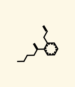 C=CCc1ccccc1C(=C)CCCC